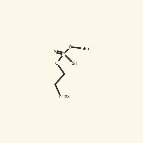 CCCCCCCCOP(=S)(S)OCCCC